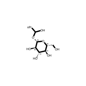 CCCC(O)O[C@@H]1O[C@H](CO)[C@@H](O)[C@H](O)[C@H]1O